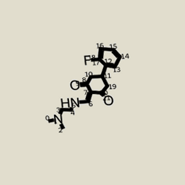 CN(C)CCNC=C1C(=O)CC(c2ccccc2F)CC1=O